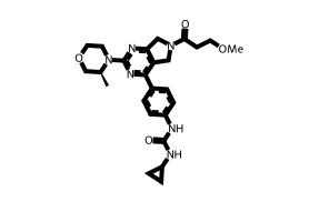 COCCC(=O)N1Cc2nc(N3CCOC[C@@H]3C)nc(-c3ccc(NC(=O)NC4CC4)cc3)c2C1